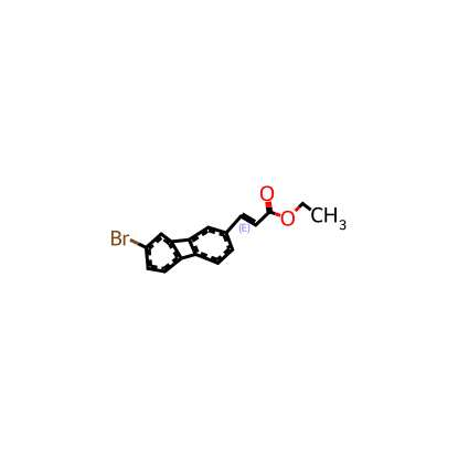 CCOC(=O)/C=C/c1ccc2c(c1)-c1cc(Br)ccc1-2